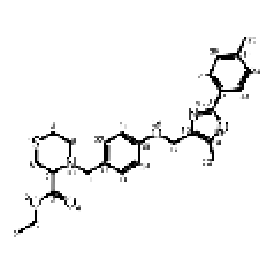 CCOC(=O)C1CSCCN1Cc1ccc(OCc2nc(-c3ccc(C)cc3)oc2C)cc1